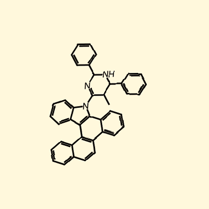 CC1C(n2c3ccccc3c3c4c5ccccc5ccc4c4ccccc4c32)=NC(c2ccccc2)NC1c1ccccc1